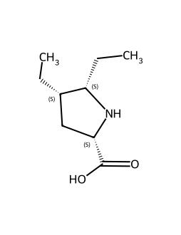 CC[C@H]1C[C@@H](C(=O)O)N[C@H]1CC